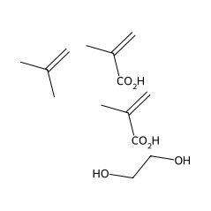 C=C(C)C.C=C(C)C(=O)O.C=C(C)C(=O)O.OCCO